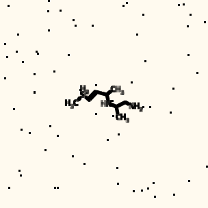 C[SiH2]C=CC(C)NC(C)CN